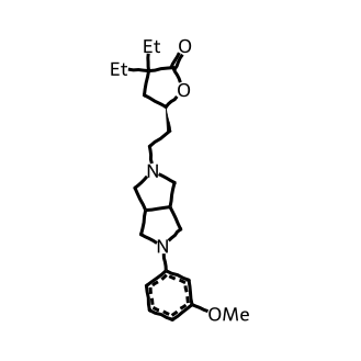 CCC1(CC)C[C@H](CCN2CC3CN(c4cccc(OC)c4)CC3C2)OC1=O